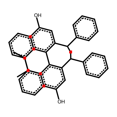 CC(c1ccccc1)c1cc(O)cc(C(C)c2ccccc2)c1-c1c(C(C)c2ccccc2)cc(O)cc1C(C)c1ccccc1